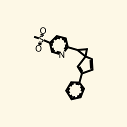 CS(=O)(=O)c1ccc(C2CC23C=CC(c2ccccc2)=C3)nc1